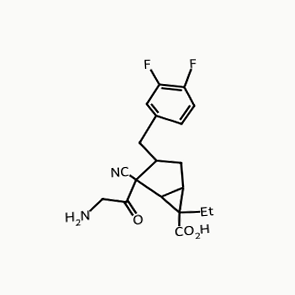 CCC1(C(=O)O)C2CC(Cc3ccc(F)c(F)c3)C(C#N)(C(=O)CN)C21